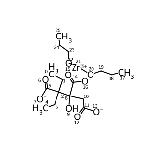 CCC(CC)(C(=O)[O-])C(O)(CC(=O)[O-])C(=O)[O-].CCC[O][Zr+3][O]CCC